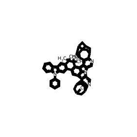 CC1(C)c2cc3c4ccccc4n(-c4ccccc4)c3cc2-c2cc3c4c5c(ncc4n4c6cnc7c(c6c(c2C1(C)C)c34)C1CC2CC3CC7CC32C1)C1CC2CC(C1)CC5C2